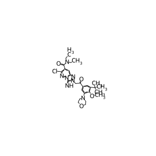 CCN(CC)C(=O)c1cc2nn(CC(=O)c3cc(N4CCOCC4)c(OC)c(C(C)(C)C)c3)c(=N)n2nc1Cl